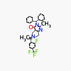 Cc1nc2c(c(=O)n1C(c1ccccc1)c1ccccc1)CN([C@H](C)c1ccc(C(F)(F)F)cc1F)CC2